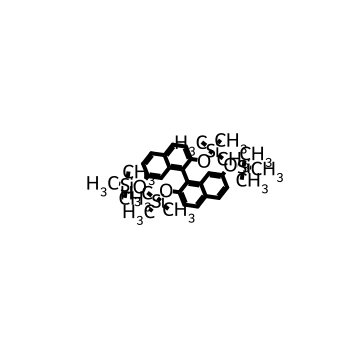 C[Si](C)(C)Oc1ccc2ccc(O[Si](C)(C)C)c(-c3c(O[Si](C)(C)C)ccc4ccc(O[Si](C)(C)C)cc34)c2c1